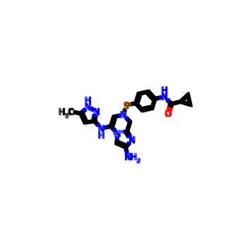 Cc1cc(NC2=CN(Sc3ccc(NC(=O)C4CC4)cc3)CC3=NC(N)=C[N+]23)n[nH]1